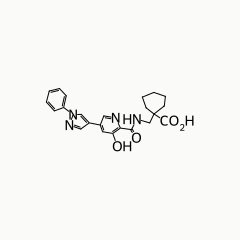 O=C(NCC1(C(=O)O)CCCCC1)c1ncc(-c2cnn(-c3ccccc3)c2)cc1O